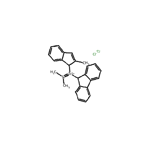 CC1=Cc2ccccc2[CH]1[Zr+2]([CH]1c2ccccc2-c2ccccc21)=[Si](C)C.[Cl-].[Cl-]